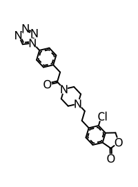 O=C1OCc2c1ccc(CCN1CCN(C(=O)Cc3ccc(-n4cnnn4)cc3)CC1)c2Cl